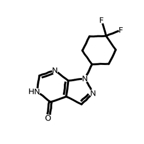 O=c1[nH]cnc2c1cnn2C1CCC(F)(F)CC1